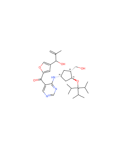 C=C(C)C(O)c1coc(C(=O)c2cncnc2N[C@@H]2C[C@H](CO)[C@@H](O[Si](C(C)C)(C(C)C)C(C)C)C2)c1